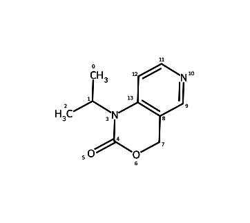 CC(C)N1C(=O)OCc2cnccc21